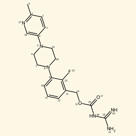 Cc1ccc(N2CCN(c3cccc(COC(=O)NC(=N)N)c3F)CC2)cn1